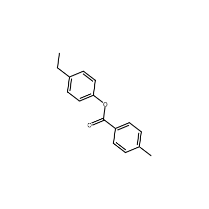 CCc1ccc(OC(=O)c2ccc(C)cc2)cc1